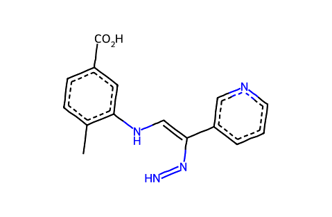 Cc1ccc(C(=O)O)cc1N/C=C(\N=N)c1cccnc1